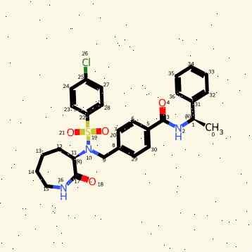 C[C@@H](NC(=O)c1ccc(CN([C@@H]2CCCCNC2=O)S(=O)(=O)c2ccc(Cl)cc2)cc1)c1ccccc1